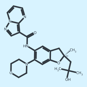 CC(C)(O)C[C@]1(C)Cc2cc(NC(=O)c3cnn4cccnc34)c(N3CCOCC3)cc2O1